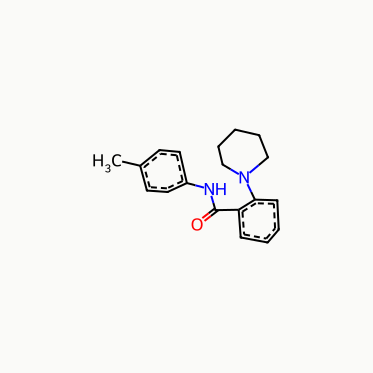 Cc1ccc(NC(=O)c2ccccc2N2CCCCC2)cc1